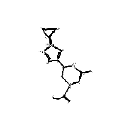 CC1CN(C(C)C)CC(c2cnn(C3CC3)c2)O1